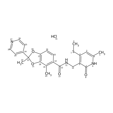 CSc1cc(C)[nH]c(=O)c1CNC(=O)c1ccc2c(c1C)OC(C)(c1ccncc1)O2.Cl